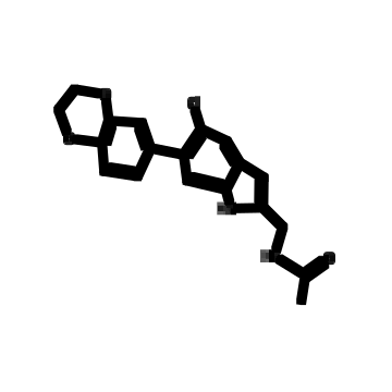 CC(=O)NCc1cc2cc(Cl)c(-c3ccc4c(c3)OCCO4)cc2[nH]1